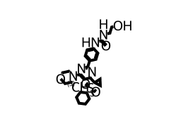 C[C@H]1COCCN1c1cc(C2(S(=O)(=O)C3CCCCC3)CC2)nc(-c2ccc(NC(=O)NCCO)cc2)n1